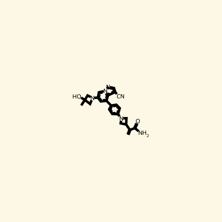 C=C(C(N)=O)C1CN(c2ccc(-c3cc(N4CC(C)(O)C4)cn4ncc(C#N)c34)cc2)C1